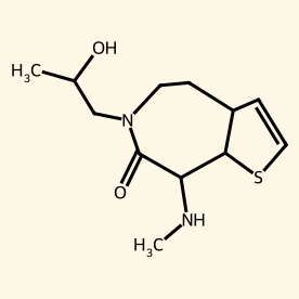 CNC1C(=O)N(CC(C)O)CCC2C=CSC21